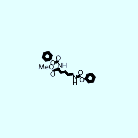 COC(=O)C(CCCCNC(=O)Oc1ccccc1)NC(=O)Oc1ccccc1